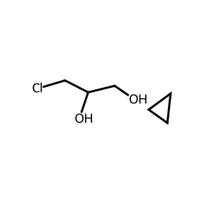 C1CC1.OCC(O)CCl